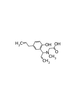 C=CCc1ccc(O)c(C(C=C)N(C)CC(=O)O)c1